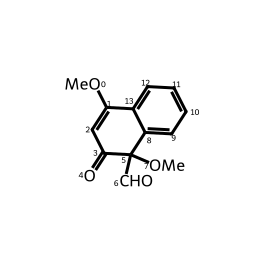 COC1=CC(=O)C(C=O)(OC)c2ccccc21